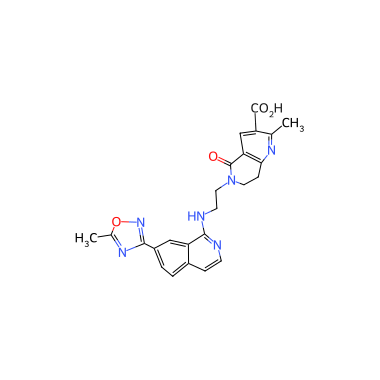 Cc1nc(-c2ccc3ccnc(NCCN4CCc5nc(C)c(C(=O)O)cc5C4=O)c3c2)no1